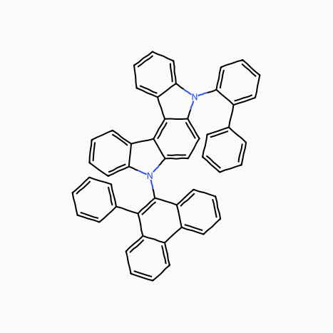 c1ccc(-c2ccccc2-n2c3ccccc3c3c4c5ccccc5n(-c5c(-c6ccccc6)c6ccccc6c6ccccc56)c4ccc32)cc1